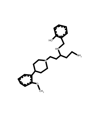 COc1ccccc1C1CCN(CCC(CCN)NCc2ccccc2O)CC1